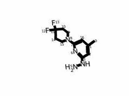 Cc1cc(NN)nc(N2CCC(F)(F)CC2)c1